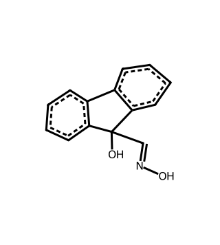 ON=CC1(O)c2ccccc2-c2ccccc21